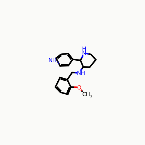 COc1ccccc1CNC1CCCNC1c1ccccc1.N